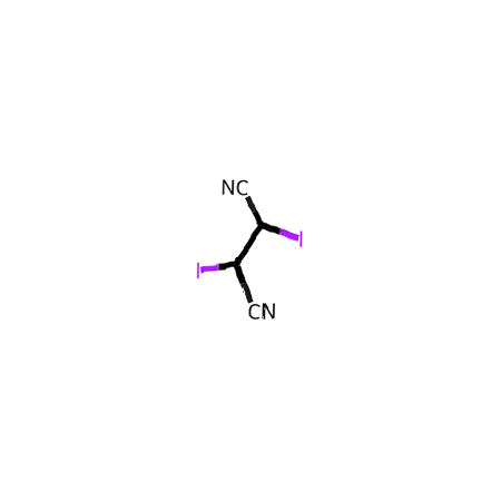 N#CC(I)C(I)C#N